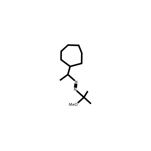 COC(C)(C)N=NC(C)C1CCCCCC1